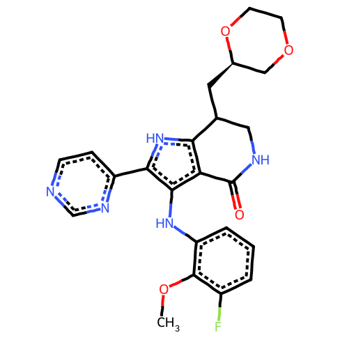 COc1c(F)cccc1Nc1c(-c2ccncn2)[nH]c2c1C(=O)NCC2C[C@@H]1COCCO1